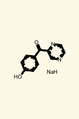 O=C(c1ccc(O)cc1)c1cnccn1.[NaH]